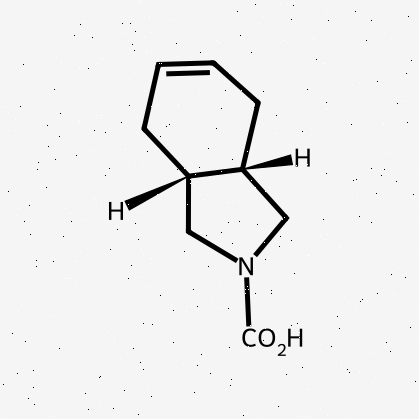 O=C(O)N1C[C@H]2CC=CC[C@H]2C1